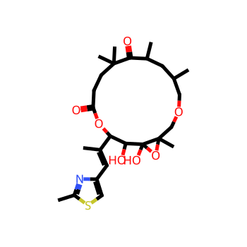 CC(=Cc1csc(C)n1)C1OC(=O)CCC(C)(C)C(=O)C(C)CC(C)COCC2(C)OC2(O)C1O